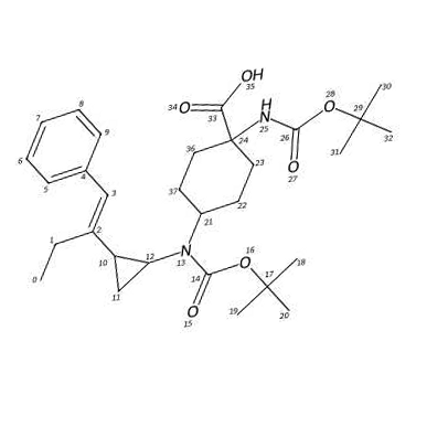 CCC(=Cc1ccccc1)C1CC1N(C(=O)OC(C)(C)C)C1CCC(NC(=O)OC(C)(C)C)(C(=O)O)CC1